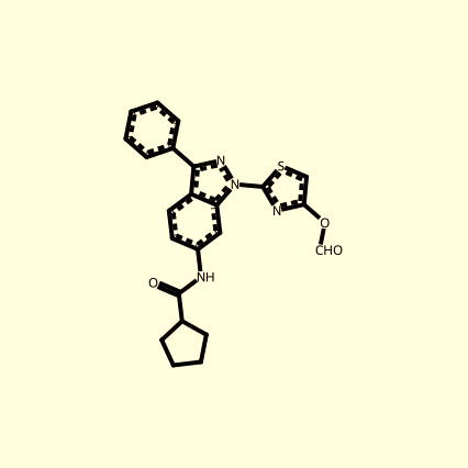 O=COc1csc(-n2nc(-c3ccccc3)c3ccc(NC(=O)C4CCCC4)cc32)n1